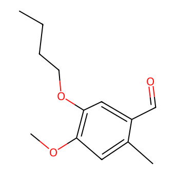 CCCCOc1cc(C=O)c(C)cc1OC